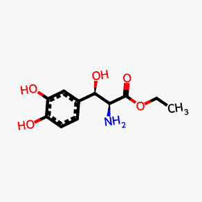 CCOC(=O)[C@@H](N)[C@H](O)c1ccc(O)c(O)c1